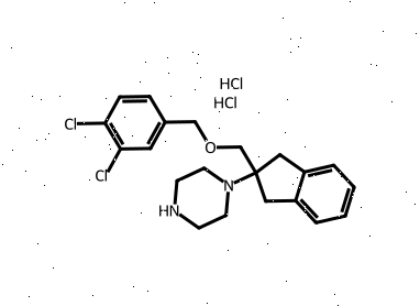 Cl.Cl.Clc1ccc(COCC2(N3CCNCC3)Cc3ccccc3C2)cc1Cl